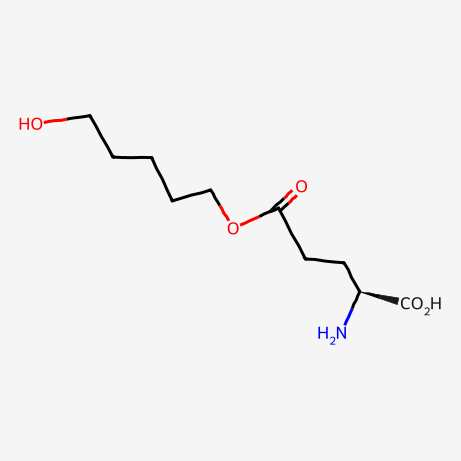 N[C@@H](CCC(=O)OCCCCCO)C(=O)O